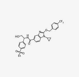 CCS(=O)(=O)c1ccc(C(CO)NC(=O)c2ccc3c(c2)nc(OCc2ccc(C(F)(F)F)cc2)n3C2CC2)cc1